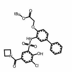 CC(C)(C)OC(=O)COc1ccc(-c2ccccc2)cc1NS(=O)(=O)c1cc(C(=O)N2CCC2)cc(Cl)c1O